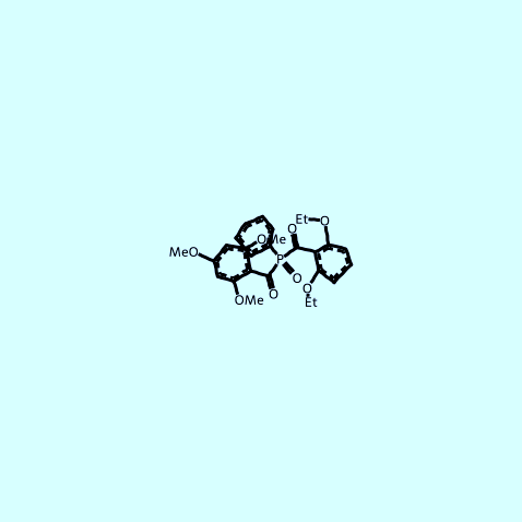 CCOc1cccc(OCC)c1C(=O)P(=O)(C(=O)c1c(OC)cc(OC)cc1OC)c1ccccc1